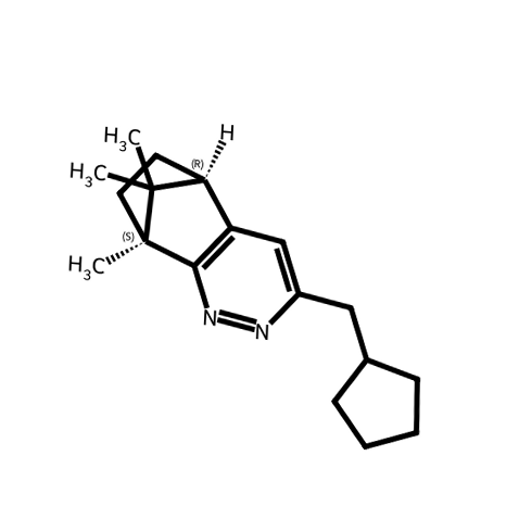 CC1(C)[C@H]2CC[C@]1(C)c1nnc(CC3CCCC3)cc12